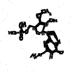 COC1[C@H](COP(=O)(O)O)O[C@H](n2cnc3c(=O)[nH]c(N)nc32)[C@@H]1O